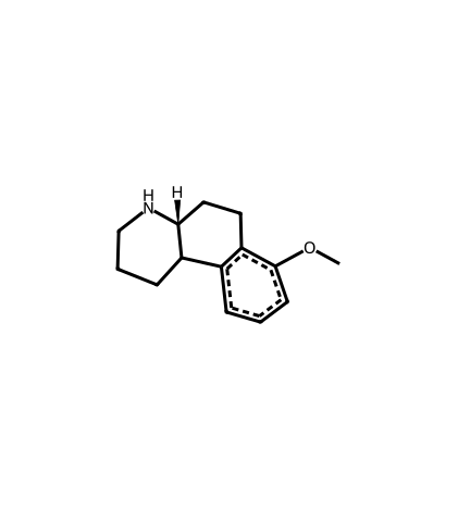 COc1cccc2c1CC[C@H]1NCCCC21